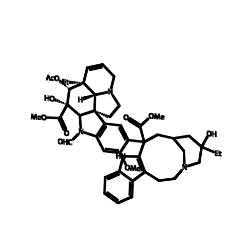 CCC1(O)CC2CN(CCc3c([nH]c4ccccc34)C(C(=O)OC)(c3cc4c(cc3OC)N(C=O)C3[C@]45CCN4CC=C[C@](CC)([C@@H](OC(C)=O)[C@]3(O)C(=O)OC)[C@H]45)C2)C1